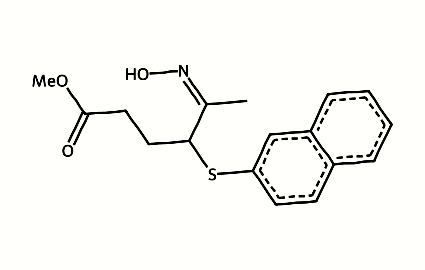 COC(=O)CCC(Sc1ccc2ccccc2c1)/C(C)=N\O